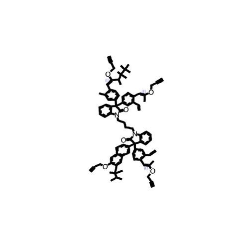 C#CCO/C(C)=C/c1ccc(C2(c3ccc(/C=C(/OCC#C)C(C)C(C)(C)C(C)(C)C)c(C)c3)C(=O)N(CCCCN3C(=O)C(c4ccc(/C=C(\C)OCC#C)c(C=C)c4)(c4ccc5cc(OCC#C)c(C(C)(C)C(C)C)cc5c4)c4ccccc43)c3ccccc32)cc1C=C